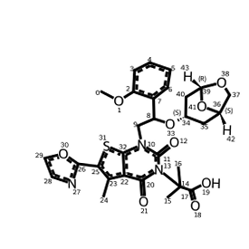 COc1ccccc1C(Cn1c(=O)n(C(C)(C)C(=O)O)c(=O)c2c(C)c(-c3ncco3)sc21)O[C@H]1C[C@H]2CO[C@@H](C1)O2